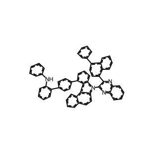 c1ccc(Nc2ccccc2-c2ccc(-c3cccc4c3c3c5ccccc5ccc3n4-c3nc4ccccc4nc3-c3ccc(-c4ccccc4)c4ccccc34)cc2)cc1